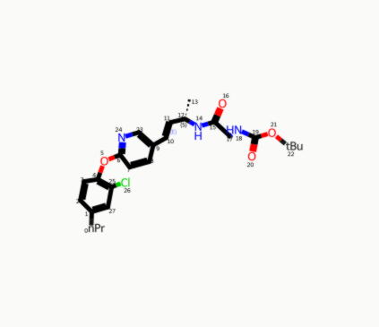 CCCc1ccc(Oc2ccc(/C=C/[C@H](C)NC(=O)CNC(=O)OC(C)(C)C)cn2)c(Cl)c1